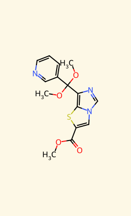 COC(=O)c1cn2cnc(C(OC)(OC)c3cccnc3)c2s1